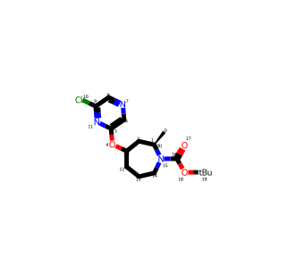 C[C@@H]1CC(Oc2cncc(Cl)n2)CCCN1C(=O)OC(C)(C)C